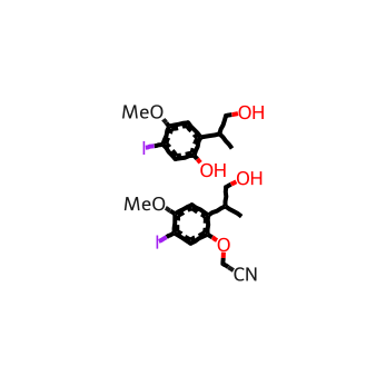 COc1cc(C(C)CO)c(O)cc1I.COc1cc(C(C)CO)c(OCC#N)cc1I